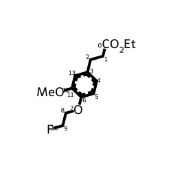 CCOC(=O)CCc1ccc(OCCF)c(OC)c1